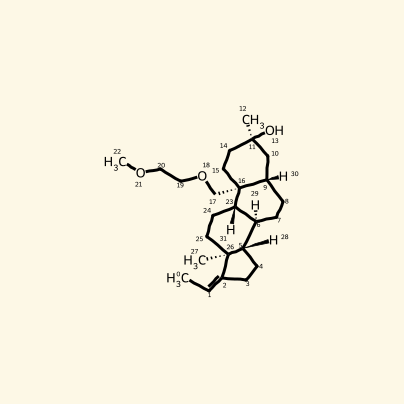 C/C=C1/CC[C@H]2[C@@H]3CC[C@H]4C[C@](C)(O)CC[C@]4(COCCOC)[C@H]3CC[C@]12C